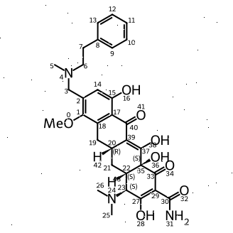 COc1c(CN(C)CCc2ccccc2)cc(O)c2c1C[C@H]1C[C@H]3[C@H](N(C)C)C(O)=C(C(N)=O)C(=O)[C@@]3(O)C(O)=C1C2=O